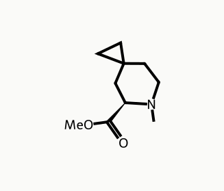 COC(=O)[C@H]1CC2(CCN1C)CC2